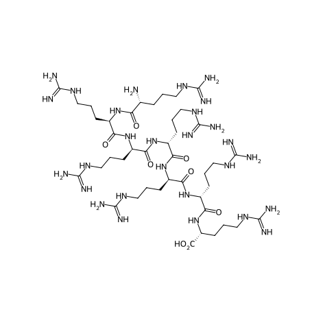 N=C(N)NCCC[C@@H](N)C(=O)N[C@H](CCCNC(=N)N)C(=O)N[C@H](CCCNC(=N)N)C(=O)N[C@H](CCCNC(=N)N)C(=O)N[C@H](CCCNC(=N)N)C(=O)N[C@H](CCCNC(=N)N)C(=O)N[C@H](CCCNC(=N)N)C(=O)O